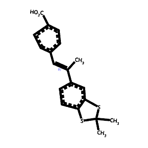 C/C(=C\c1ccc(C(=O)O)cc1)c1ccc2c(c1)SC(C)(C)S2